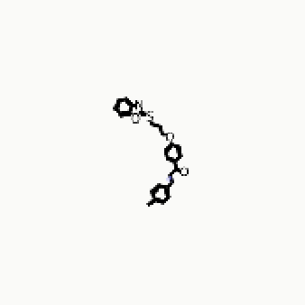 Cc1ccc(/C=C/C(=O)c2ccc(OCCCSc3nc4ccccc4o3)cc2)cc1